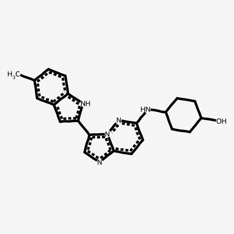 Cc1ccc2[nH]c(-c3cnc4ccc(NC5CCC(O)CC5)nn34)cc2c1